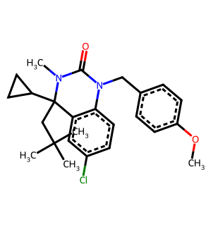 COc1ccc(CN2C(=O)N(C)C(CC(C)(C)C)(C3CC3)c3cc(Cl)ccc32)cc1